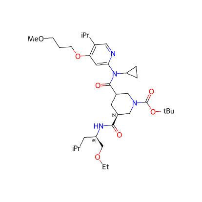 CCOC[C@@H](CC(C)C)NC(=O)[C@H]1CC(C(=O)N(c2cc(OCCCOC)c(C(C)C)cn2)C2CC2)CN(C(=O)OC(C)(C)C)C1